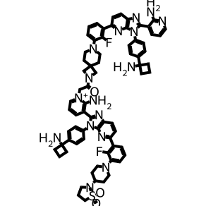 Nc1ncccc1-c1nc2ccc(-c3cccc(N4CCC5(CC4)CN(C(=O)C[n+]4cccc(-c6nc7ccc(-c8cccc(N9CCC(N%10CCCS%10(=O)=O)CC9)c8F)nc7n6-c6ccc(C7(N)CCC7)cc6)c4N)C5)c3F)nc2n1-c1ccc(C2(N)CCC2)cc1